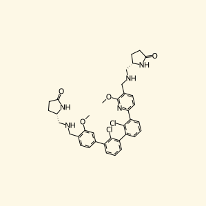 COc1cc(-c2cccc(-c3cccc(-c4ccc(CNC[C@@H]5CCC(=O)N5)c(OC)n4)c3Cl)c2Cl)ccc1CNC[C@@H]1CCC(=O)N1